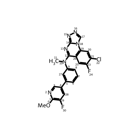 COc1ncc(-c2cccc(N(C)c3nc4nncn4c4cc(Cl)c(F)cc34)c2)cc1F